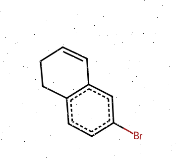 Brc1ccc2c(c1)C=CCC2